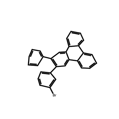 Brc1cccc(-c2cc3c4ccccc4c4ccccc4c3cc2-c2ccccc2)c1